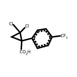 O=C(O)C1(c2ccc(C(F)(F)F)cc2)CC1(Cl)Cl